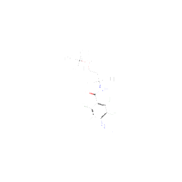 CC(C)(CCOC(C)(C)C)NC(=O)c1c(F)c(F)c(N)c(F)c1F